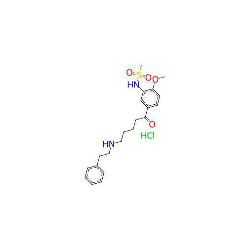 COc1ccc(C(=O)CCCCNCCc2ccccc2)cc1NS(C)(=O)=O.Cl